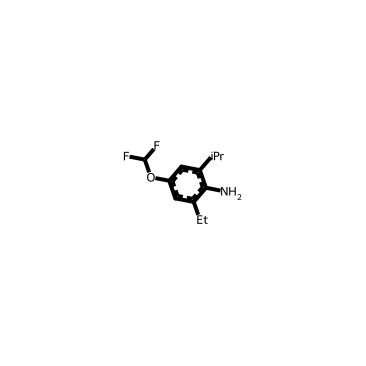 CCc1cc(OC(F)F)cc(C(C)C)c1N